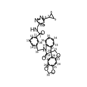 O=C(Nc1nnc(C2CC2)s1)c1cccc(CN2C(=O)C3(COc4cc5c(cc43)OCO5)c3ccccc32)c1